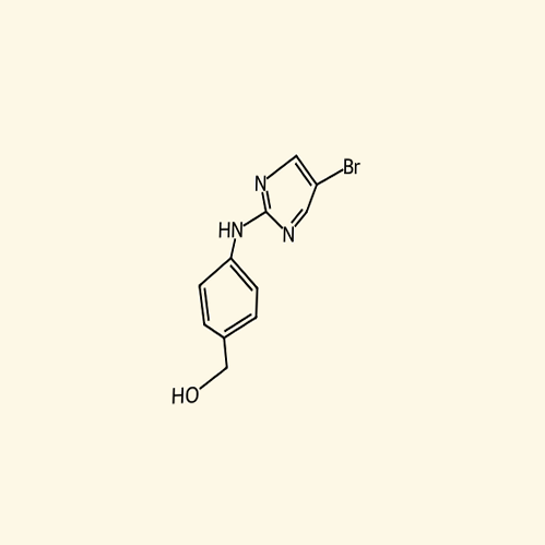 OCc1ccc(Nc2ncc(Br)cn2)cc1